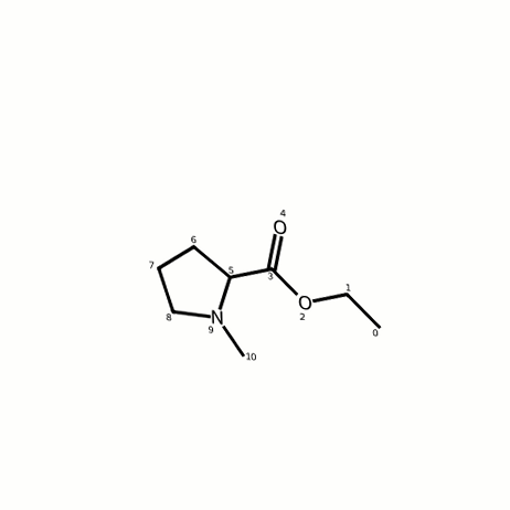 CCOC(=O)C1CCCN1C